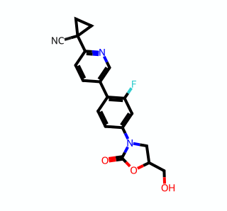 N#CC1(c2ccc(-c3ccc(N4CC(CO)OC4=O)cc3F)cn2)CC1